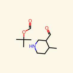 CC(C)(C)OC=O.CC1CCNCC1C=O